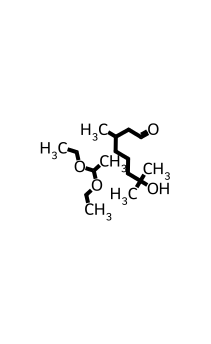 CC(CC=O)CCCC(C)(C)O.CCOC(C)OCC